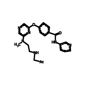 CC(=O)CNCCN(C)c1cncc(Oc2ccc(C(=O)Nc3cccnc3)cc2)n1